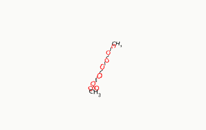 COCCOCCOCCOCCOCCOC(=O)OC